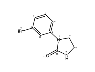 CC(C)c1cccc(N2CCNC2=O)c1